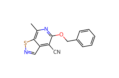 Cc1nc(OCc2ccccc2)c(C#N)c2cnsc12